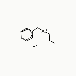 CC[CH2][Al+][CH2]c1ccccc1.[H-]